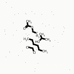 CC(C)O.CCCCCC.CCOC(C)=O.ClCCl